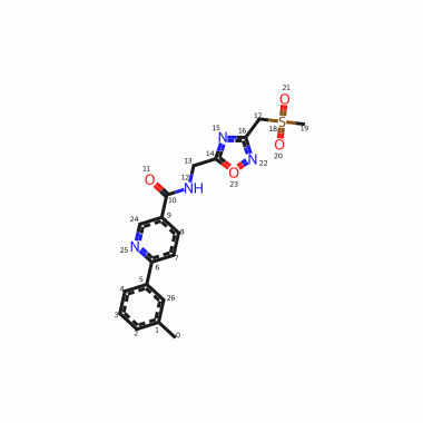 Cc1cccc(-c2ccc(C(=O)NCc3nc(CS(C)(=O)=O)no3)cn2)c1